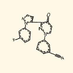 N#Cc1cccc(-n2ccc(=O)c(-c3ccnn3-c3cccc(F)c3)n2)c1